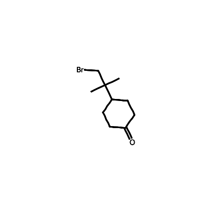 CC(C)(CBr)C1CCC(=O)CC1